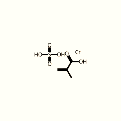 C=C(C)C(=O)O.O=S(=O)(O)O.[Cr]